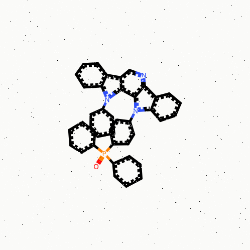 O=P(c1ccccc1)(c1ccccc1)c1ccc(-n2c3ccccc3c3ncc4c5ccccc5n(-c5ccccc5)c4c32)cc1